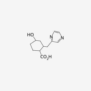 O=C(O)C1CCC(O)CC1Cc1cnccn1